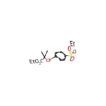 CCOC(=O)C(C)(C)Oc1ccc(S(=O)(=O)OCC)cc1